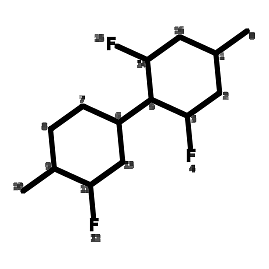 CC1CC(F)C(C2CCC(C)C(F)C2)C(F)C1